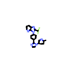 Cc1ccc(-n2ccnc2-c2ccc(-n3c(C(F)F)nc4cccnc43)cc2)cn1